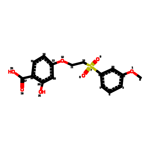 COc1cccc(S(=O)(=O)CCOc2ccc(C(=O)O)c(O)c2)c1